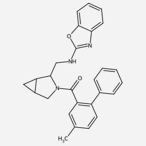 Cc1ccc(-c2ccccc2)c(C(=O)N2CC3CC3C2CNc2nc3ccccc3o2)c1